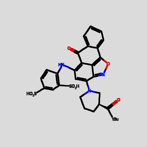 CC(C)(C)C(=O)[C@H]1CCCN(c2cc(Nc3ccc(S(=O)(=O)O)cc3S(=O)(=O)O)c3c4c(onc24)-c2ccccc2C3=O)C1